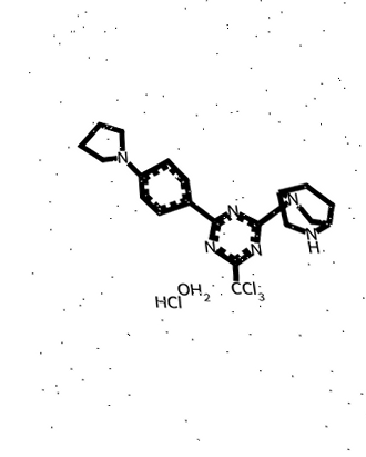 Cl.ClC(Cl)(Cl)c1nc(-c2ccc(N3CCCC3)cc2)nc(N2CC3CCC2CN3)n1.O